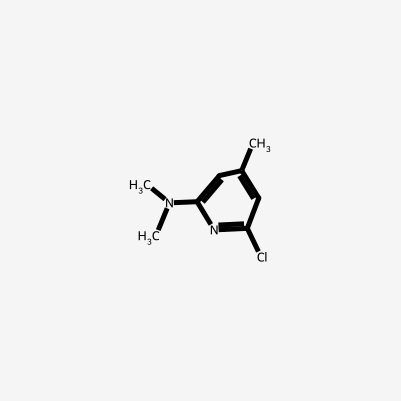 Cc1cc(Cl)nc(N(C)C)c1